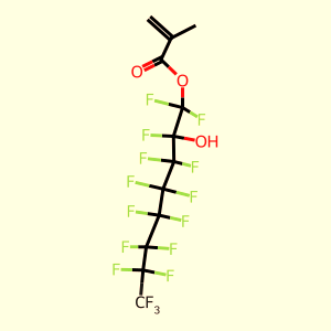 C=C(C)C(=O)OC(F)(F)C(O)(F)C(F)(F)C(F)(F)C(F)(F)C(F)(F)C(F)(F)C(F)(F)F